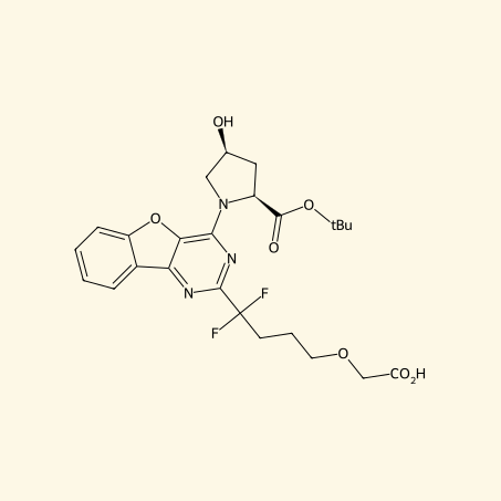 CC(C)(C)OC(=O)[C@@H]1C[C@H](O)CN1c1nc(C(F)(F)CCCOCC(=O)O)nc2c1oc1ccccc12